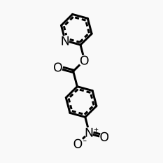 O=C(Oc1ccccn1)c1ccc([N+](=O)[O-])cc1